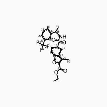 CCOC(=O)c1oc2ccc(S(=O)(=O)NC(C)c3cccc(C(F)(F)F)c3)cc2c1C